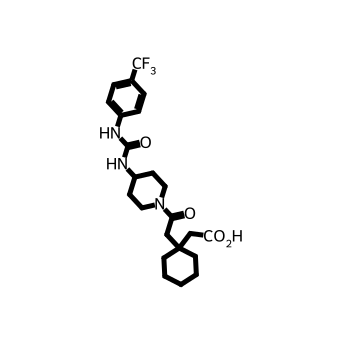 O=C(O)CC1(CC(=O)N2CCC(NC(=O)Nc3ccc(C(F)(F)F)cc3)CC2)CCCCC1